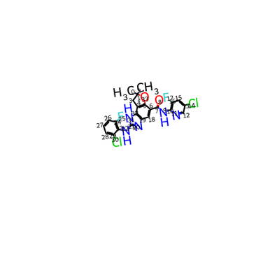 CC1(C)Cc2c(c(C(=O)Nc3ncc(Cl)cc3F)cc3nc(Nc4c(F)cccc4Cl)[nH]c23)O1